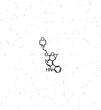 COCc1c(C(=O)OCCN2CCOCC2)ncc2[nH]c3ccccc3c12